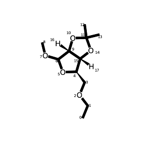 CCOC[C@H]1OC(OC)[C@@H]2OC(C)(C)O[C@H]12